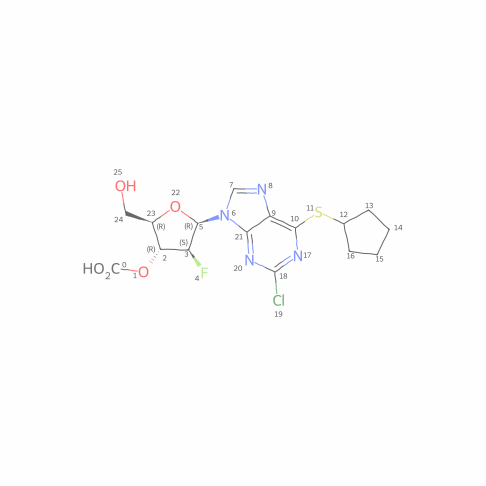 O=C(O)O[C@H]1[C@H](F)[C@H](n2cnc3c(SC4CCCC4)nc(Cl)nc32)O[C@@H]1CO